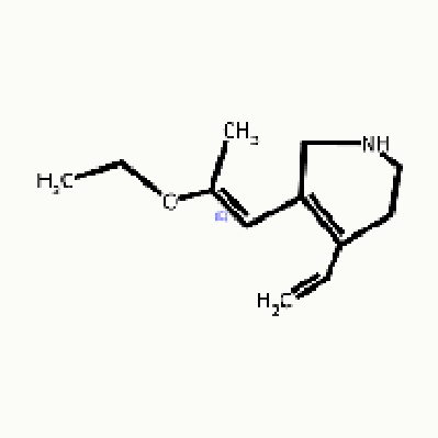 C=CC1=C(/C=C(\C)OCC)CNCC1